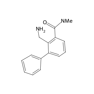 CNC(=O)c1cccc(-c2ccccc2)c1CN